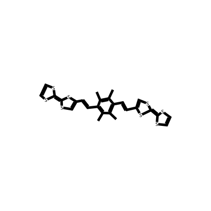 Cc1c(C)c(/C=C/C2=CSC(=C3SC=CS3)S2)c(C)c(C)c1/C=C/C1=CSC(=C2SC=CS2)S1